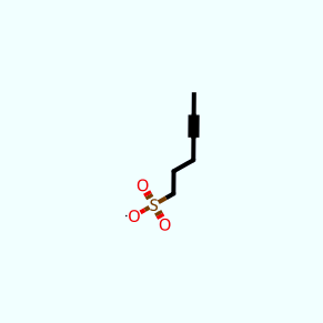 CC#CCCCS([O])(=O)=O